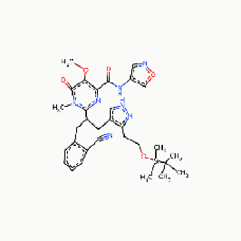 COc1c(C(=O)Nc2cnoc2)nc(C(Cc2ccccc2C#N)Cc2c[nH]nc2CCO[Si](C)(C)C(C)(C)C)n(C)c1=O